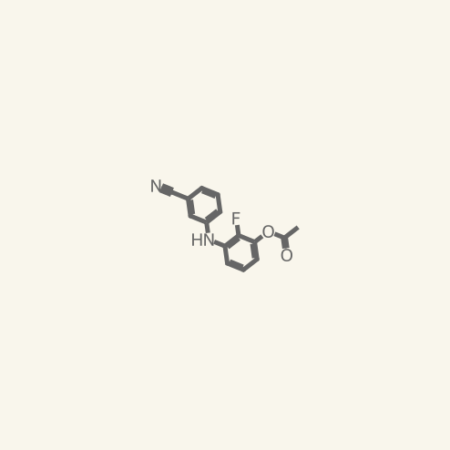 CC(=O)Oc1cccc(Nc2cccc(C#N)c2)c1F